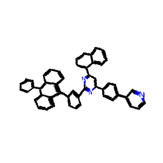 c1ccc(-c2c3ccccc3c(-c3cccc(-c4nc(-c5ccc(-c6cccnc6)cc5)cc(-c5cccc6ccccc56)n4)c3)c3ccccc23)cc1